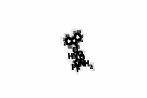 NC(=O)C(CC(F)(F)F)NC(=O)OCC1c2ccccc2-c2ccccc21